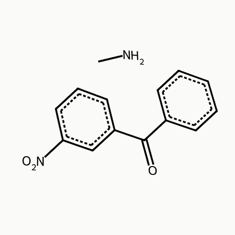 CN.O=C(c1ccccc1)c1cccc([N+](=O)[O-])c1